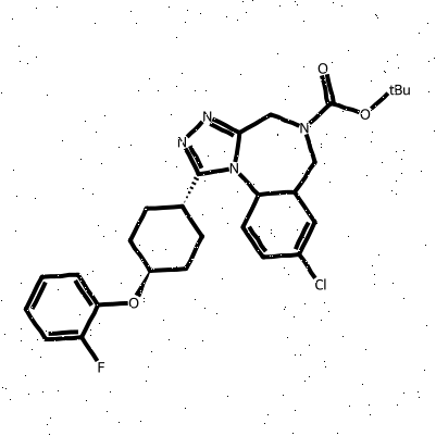 CC(C)(C)OC(=O)N1Cc2nnc([C@H]3CC[C@H](Oc4ccccc4F)CC3)n2C2C=CC(Cl)=CC2C1